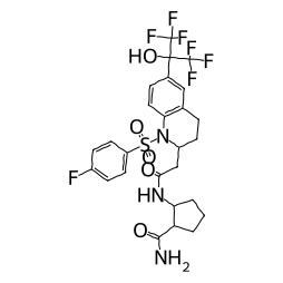 NC(=O)C1CCCC1NC(=O)CC1CCc2cc(C(O)(C(F)(F)F)C(F)(F)F)ccc2N1S(=O)(=O)c1ccc(F)cc1